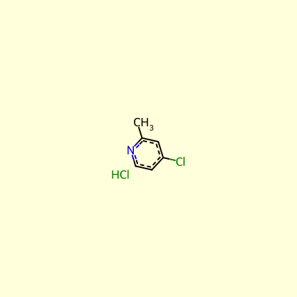 Cc1cc(Cl)ccn1.Cl